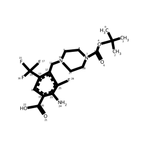 CC(C)(C)OC(=O)N1CCN(Cc2c(C(F)(F)F)cc(C(=O)O)c(N)c2F)CC1